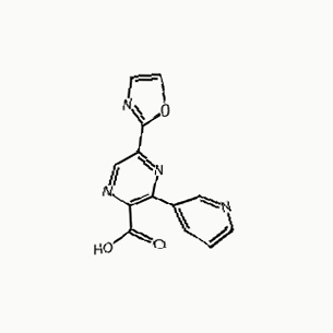 O=C(O)c1ncc(-c2ncco2)nc1-c1cccnc1